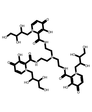 O=C(NCCN(CCNC(=O)c1c(O)c(=O)ccn1CC(O)C(O)CO)CCNC(=O)c1c(O)c(=O)ccn1CC(O)C(O)CO)c1c(O)c(=O)ccn1CC(O)C(O)CO